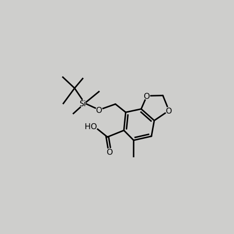 Cc1cc2c(c(CO[Si](C)(C)C(C)(C)C)c1C(=O)O)OCO2